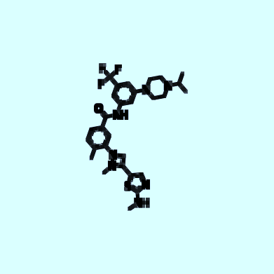 CNc1ncc(-c2cn(-c3cc(C(=O)Nc4cc(N5CCN(C(C)C)CC5)cc(C(F)(F)F)c4)ccc3C)n2C)s1